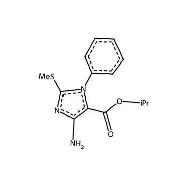 CSc1nc(N)c(C(=O)OC(C)C)n1-c1ccccc1